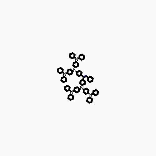 C1=CC(N(c2ccccc2)c2ccc(N(c3ccc(/C(=C/c4ccccc4)c4ccc(N(c5ccc(N(c6ccccc6)c6ccccc6)cc5)c5ccc(N(c6ccccc6)c6ccccc6)cc5)cc4)cc3)c3ccc(N(c4ccccc4)c4ccccc4)cc3)cc2)=CCC1